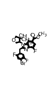 COC(=O)c1cc(F)c2nc(Cc3cc(F)c(Br)cc3F)n(C3COCC3(C)C)c2c1